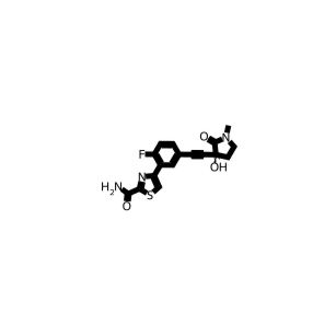 CN1CC[C@@](O)(C#Cc2ccc(F)c(-c3csc(C(N)=O)n3)c2)C1=O